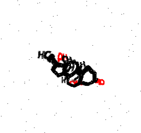 C#C[C@]1(O)CC[C@H]2[C@@H]3CCC4=CC(=O)CC[C@]4(CO)[C@H]3CC[C@@]21C